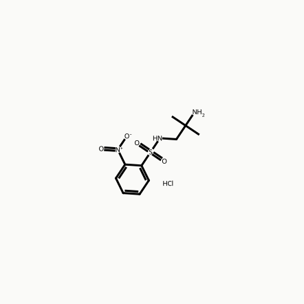 CC(C)(N)CNS(=O)(=O)c1ccccc1[N+](=O)[O-].Cl